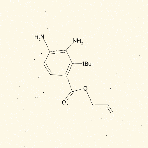 C=CCOC(=O)c1ccc(N)c(N)c1C(C)(C)C